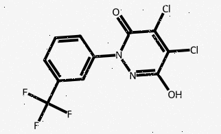 O=c1c(Cl)c(Cl)c(O)nn1-c1cccc(C(F)(F)F)c1